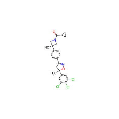 CC1(c2cc(Cl)c(Cl)c(Cl)c2)CC(c2ccc(C3(C#N)CN(C(=O)C4CC4)C3)cc2)=NO1